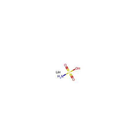 NS(=O)(=O)O.[LiH]